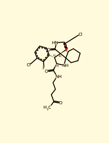 CC(=O)CCCNC(=O)[C@@H]1NC2(CCCCC2)[C@@]2(C(=O)Nc3cc(Cl)ccc32)[C@H]1c1cccc(Cl)c1F